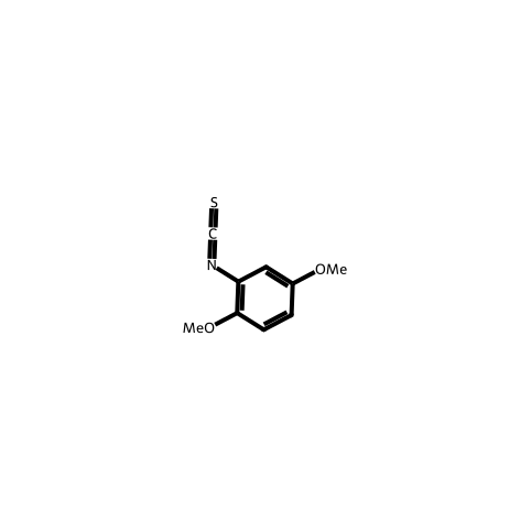 COc1ccc(OC)c(N=C=S)c1